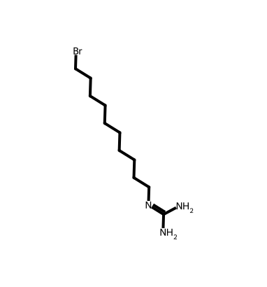 NC(N)=NCCCCCCCCCCBr